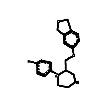 Fc1ccc([C@@H]2CCNCC2COc2ccc3c(c2)COC3)cc1